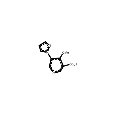 COc1c(C(=O)O)cncc1-n1cccn1